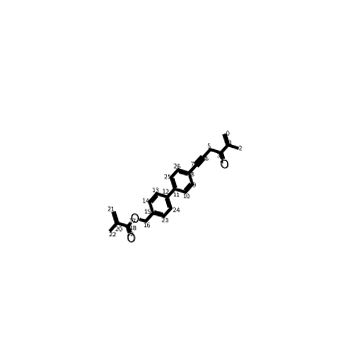 C=C(C)C(=O)CC#Cc1ccc(-c2ccc(COC(=O)C(=C)C)cc2)cc1